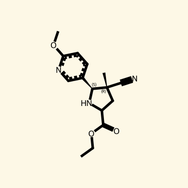 CCOC(=O)C1C[C@@](C)(C#N)[C@H](c2ccc(OC)nc2)N1